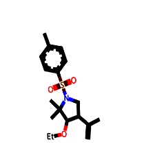 C=C(C)C1CN(S(=O)(=O)c2ccc(C)cc2)C(C)(C)C1OCC